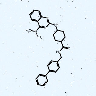 CN(C)c1nc(NC2CCC(C(=O)NCc3ccc(-c4ccccc4)cc3)CC2)nc2ccccc12